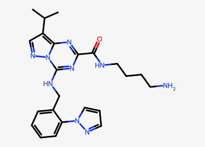 CC(C)c1cnn2c(NCc3ccccc3-n3cccn3)nc(C(=O)NCCCCN)nc12